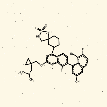 CCc1c(F)ccc2cc(O)cc(-c3ccc4c(N5CCCC6(CNS(=O)(=O)N6)C5)nc(OCC5(CN(C)C)CC5)nc4c3F)c12